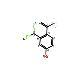 C=C(CC)c1ccc(Br)cc1C(F)F